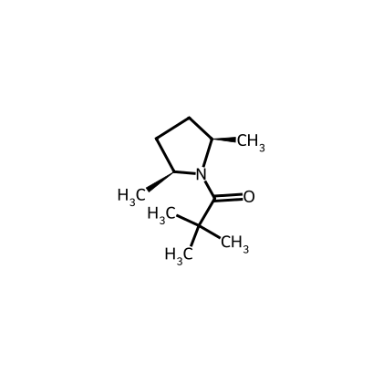 C[C@@H]1CC[C@H](C)N1C(=O)C(C)(C)C